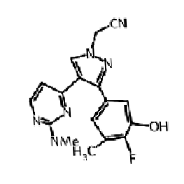 CNc1nccc(-c2cn(CC#N)nc2-c2cc(C)c(F)c(O)c2)n1